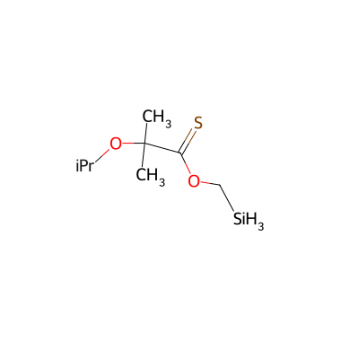 CC(C)OC(C)(C)C(=S)OC[SiH3]